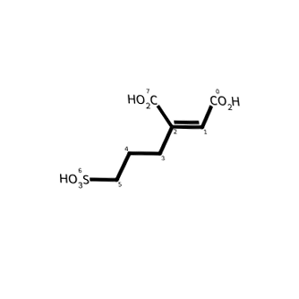 O=C(O)/C=C(/CCCS(=O)(=O)O)C(=O)O